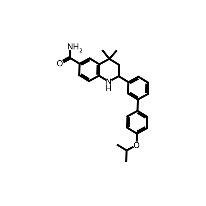 CC(C)Oc1ccc(-c2cccc(C3CC(C)(C)c4cc(C(N)=O)ccc4N3)c2)cc1